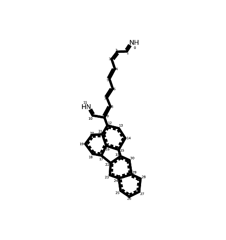 N=C\C=C/C=C/C=C/C=C(\C=N)c1ccc2c3c(cccc13)-c1cc3ccccc3cc1-2